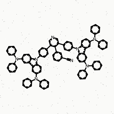 N#Cc1cccc(-c2c(-c3ccc(-n4c5ccc(N(c6ccccc6)c6ccccc6)cc5c5cc(N(c6ccccc6)c6ccccc6)ccc54)cc3)cncc2-c2ccc(-n3c4ccc(N(c5ccccc5)c5ccccc5)cc4c4cc(N(c5ccccc5)c5ccccc5)ccc43)cc2)c1